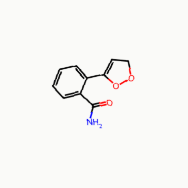 NC(=O)c1ccccc1C1=CCOO1